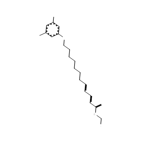 CC(C)CNC(=S)C=CC=CCCCCCCCOc1cc(Cl)cc(Cl)c1